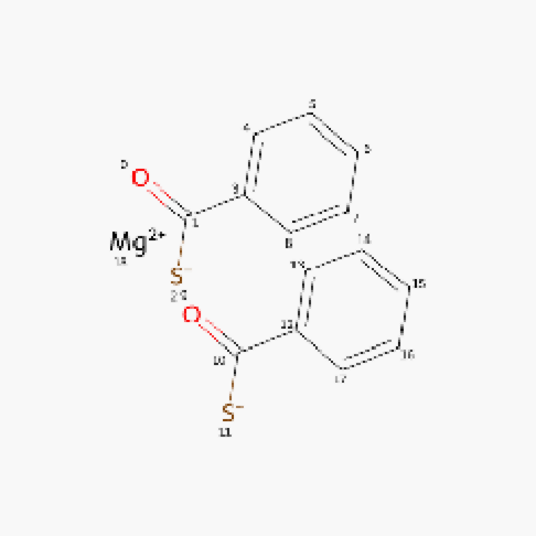 O=C([S-])c1ccccc1.O=C([S-])c1ccccc1.[Mg+2]